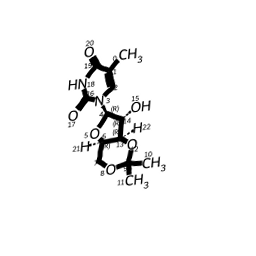 Cc1cn([C@@H]2O[C@@H]3COC(C)(C)O[C@@H]3[C@H]2O)c(=O)[nH]c1=O